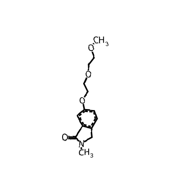 COCCOCCOc1ccc2c(c1)C(=O)N(C)C2